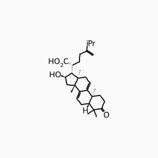 C=C(CC[C@@H](C(=O)O)[C@H]1[C@H](O)C[C@@]2(C)C3=CC[C@H]4C(C)(C)C(=O)CC[C@]4(C)C3=CC[C@]12C)C(C)C